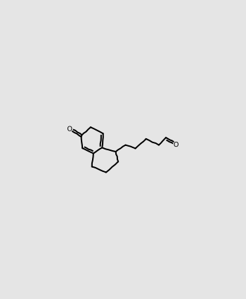 O=CCCCCC1CCCC2=CC(=O)CC=C21